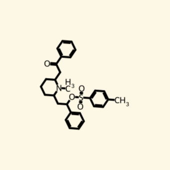 Cc1ccc(S(=O)(=O)OC(CC2CCCC(CC(=O)c3ccccc3)N2C)c2ccccc2)cc1